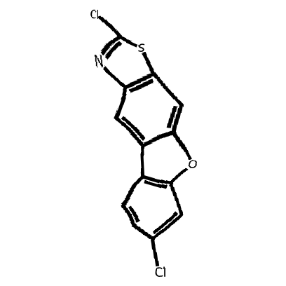 Clc1ccc2c(c1)oc1cc3sc(Cl)nc3cc12